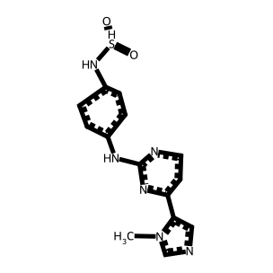 Cn1cncc1-c1ccnc(Nc2ccc(N[SH](=O)=O)cc2)n1